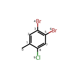 Cc1cc(Br)c(Br)cc1Cl